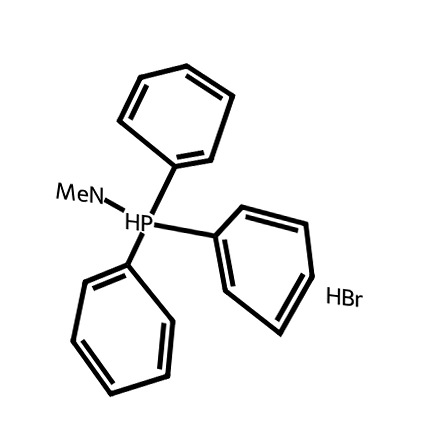 Br.CN[PH](c1ccccc1)(c1ccccc1)c1ccccc1